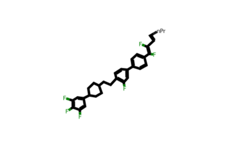 CCC/C=C/C(F)=C(\F)c1ccc(-c2ccc(CCC3CCC(c4cc(F)c(F)c(F)c4)CC3)c(F)c2)cc1